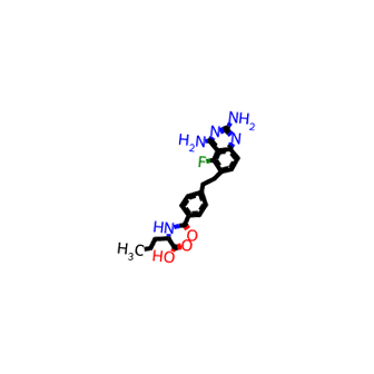 CCCC(NC(=O)c1ccc(CCc2ccc3nc(N)nc(N)c3c2F)cc1)C(=O)O